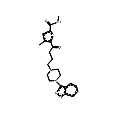 CNC(=O)c1cc(C)c(C(=O)CCCN2CCN(c3nsc4ccccc34)CC2)s1